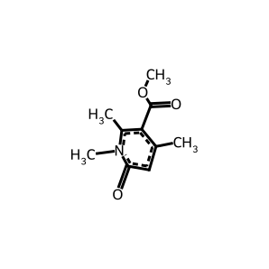 COC(=O)c1c(C)cc(=O)n(C)c1C